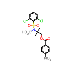 CC(C)(COC(=O)c1ccc([N+](=O)[O-])cc1)N(C(=O)O)S(=O)(=O)c1c(Cl)cccc1Cl